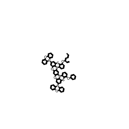 C=C/C(=C\C=C/C)Oc1cccc2c1Sc1cc(N3c4ccccc4Oc4ccccc43)cc3c1B2c1cc2c(cc1O3)Oc1cc(N3c4ccccc4Oc4ccccc43)cc3c1B2c1cccc(Oc2ccccc2)c1S3